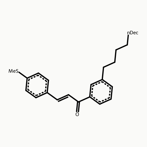 CCCCCCCCCCCCCCc1cccc(C(=O)C=Cc2ccc(SC)cc2)c1